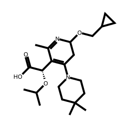 CC1=NC(OCC2CC2)CC(N2CCC(C)(C)CC2)=C1[C@H](OC(C)C)C(=O)O